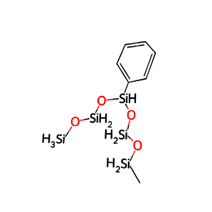 C[SiH2]O[SiH2]O[SiH](O[SiH2]O[SiH3])c1ccccc1